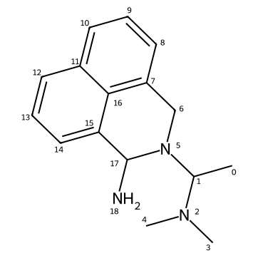 CC(N(C)C)N1Cc2cccc3cccc(c23)C1N